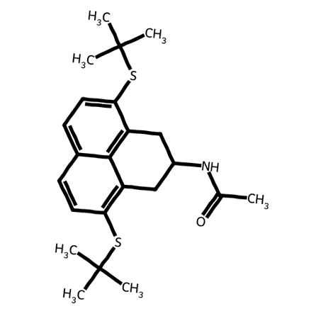 CC(=O)NC1Cc2c(SC(C)(C)C)ccc3ccc(SC(C)(C)C)c(c23)C1